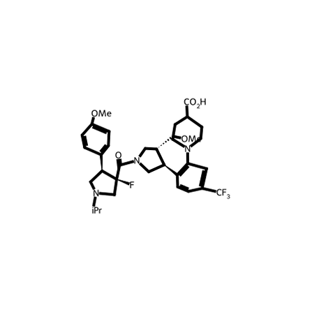 COC[C@H]1CN(C(=O)[C@]2(F)CN(C(C)C)C[C@H]2c2ccc(OC)cc2)C[C@@H]1c1ccc(C(F)(F)F)cc1N1CCC(C(=O)O)CC1